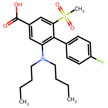 CCCCN(CCCC)c1cc(C(=O)O)cc(S(C)(=O)=O)c1-c1ccc(F)cc1